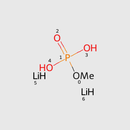 COP(=O)(O)O.[LiH].[LiH]